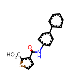 O=C(Nc1ccc(-c2ccccc2)cc1)c1ccsc1C(=O)O